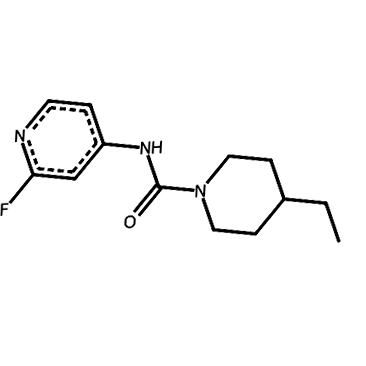 CCC1CCN(C(=O)Nc2ccnc(F)c2)CC1